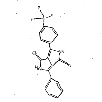 O=C1NC(c2ccc(C(F)(F)F)cc2)=C2C(=O)NC(c3ccccc3)=C12